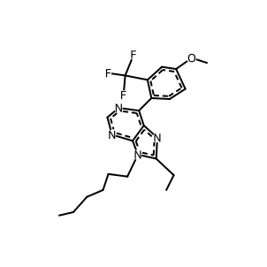 CCCCCCn1c(CC)nc2c(-c3ccc(OC)cc3C(F)(F)F)ncnc21